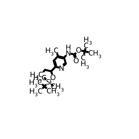 CCC(O[Si](C)(C)C(C)(C)C)c1cc(C)c(NC(=O)OC(C)(C)C)cn1